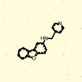 c1ccc2c(c1)oc1ccc(NCc3ccncc3)cc12